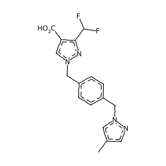 Cc1cnn(Cc2ccc(Cn3cc(C(=O)O)c(C(F)F)n3)cc2)c1